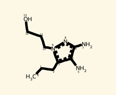 CCCc1c(N)c(N)nn1CCCO